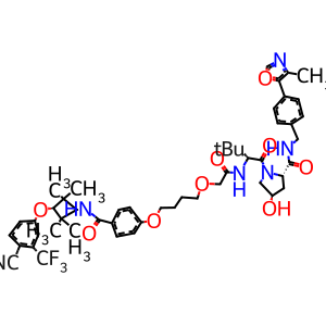 Cc1ncoc1-c1ccc(CNC(=O)[C@@H]2C[C@@H](O)CN2C(=O)[C@@H](NC(=O)COCCCCOc2ccc(C(=O)N[C@H]3C(C)(C)[C@H](Oc4ccc(C#N)c(C(F)(F)F)c4)C3(C)C)cc2)C(C)(C)C)cc1